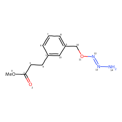 COC(=O)CCc1cccc(CON=NN)c1